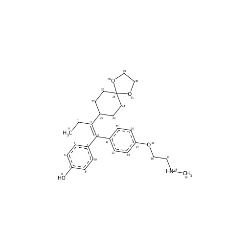 CCC(=C(c1ccc(O)cc1)c1ccc(OCCNC)cc1)C1CCC2(CC1)OCCO2